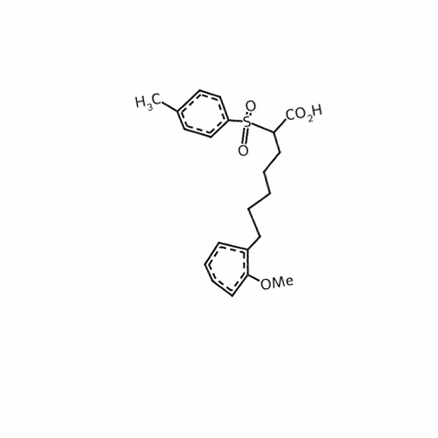 COc1ccccc1CCCCCC(C(=O)O)S(=O)(=O)c1ccc(C)cc1